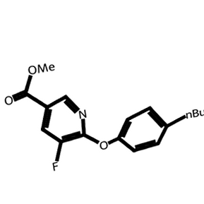 CCCCc1ccc(Oc2ncc(C(=O)OC)cc2F)cc1